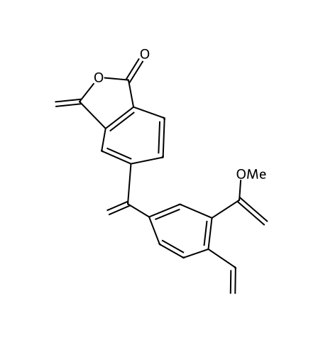 C=Cc1ccc(C(=C)c2ccc3c(c2)C(=C)OC3=O)cc1C(=C)OC